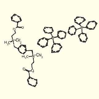 C[N+](C)(CCOC(=O)c1ccccc1)Cc1ccc(C[N+](C)(C)CCOC(=O)c2ccccc2)cc1.c1ccc([B-](c2ccccc2)(c2ccccc2)c2ccccc2)cc1.c1ccc([B-](c2ccccc2)(c2ccccc2)c2ccccc2)cc1